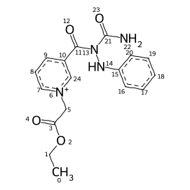 CCOC(=O)C[n+]1cccc(C(=O)N(Nc2ccccc2)C(N)=O)c1